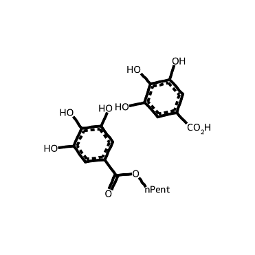 CCCCCOC(=O)c1cc(O)c(O)c(O)c1.O=C(O)c1cc(O)c(O)c(O)c1